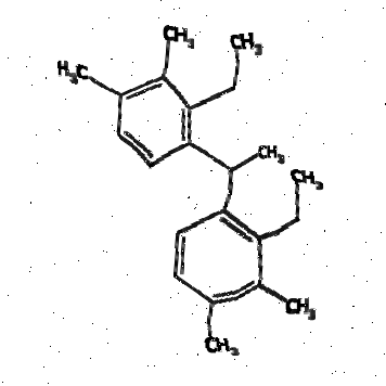 CCc1c(C(C)c2ccc(C)c(C)c2CC)ccc(C)c1C